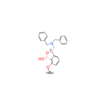 CC[C@H](C)Oc1cccc2c1B(O)O[C@@H]2CN(Cc1ccccc1)Cc1ccccc1